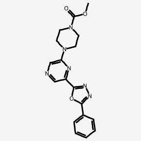 COC(=O)N1CCN(c2cncc(-c3nnc(-c4ccccc4)o3)n2)CC1